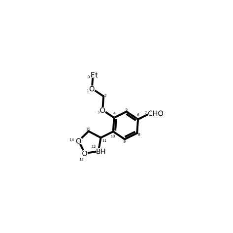 CCOCOc1cc(C=O)ccc1C1BOOC1